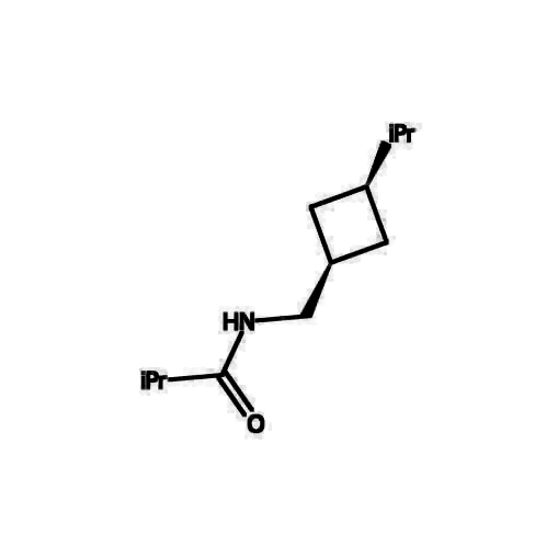 CC(C)C(=O)NC[C@H]1C[C@@H](C(C)C)C1